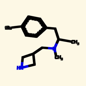 CC(Cc1ccc(C(C)(C)C)cc1)N(C)CC1CNC1